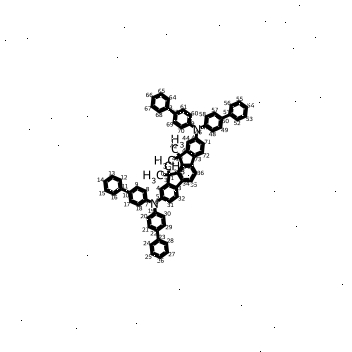 CC1(C)c2cc(N(c3ccc(-c4ccccc4)cc3)c3ccc(-c4ccccc4)cc3)ccc2-c2ccc3c(c21)C(C)(C)c1cc(N(c2ccc(-c4ccccc4)cc2)c2ccc(-c4ccccc4)cc2)ccc1-3